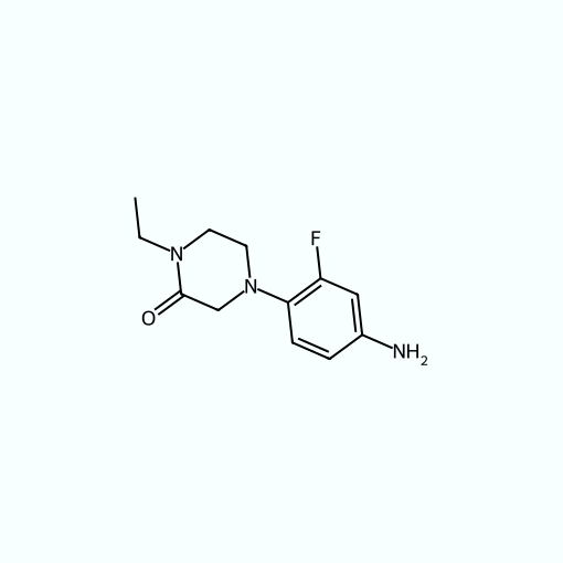 CCN1CCN(c2ccc(N)cc2F)CC1=O